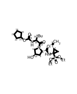 C=C[C@@H]1C[C@]1(NC(=O)[C@@H]1C[C@@H](O)CN1C(=O)C(NC(=O)OC1CCCC1)C(C)(C)C)P(=O)(OCC)OCC